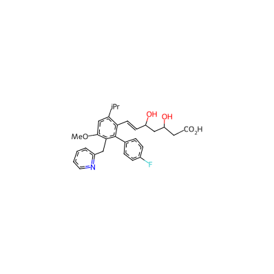 COc1cc(C(C)C)c(/C=C/C(O)CC(O)CC(=O)O)c(-c2ccc(F)cc2)c1Cc1ccccn1